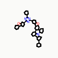 c1ccc(-c2ccc3c(c2)c2cccc(-c4ccc5oc6ccc(-c7nc(-c8ccccc8)nc(-c8ccc9c(c8)oc8ccccc89)n7)cc6c5c4)c2n3-c2ccccc2)cc1